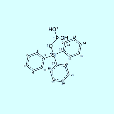 OP(O)O[Si](c1ccccc1)(c1ccccc1)c1ccccc1